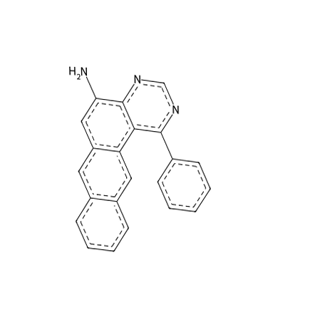 Nc1cc2cc3ccccc3cc2c2c(-c3ccccc3)ncnc12